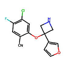 N#Cc1cc(F)c(Cl)cc1OC1(c2ccoc2)CNC1